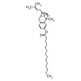 CCCCCCCCCCCCCC(=O)Oc1ccc2c(c1)C1(C)CCN(CC=C(C)C)C(C2)C1C